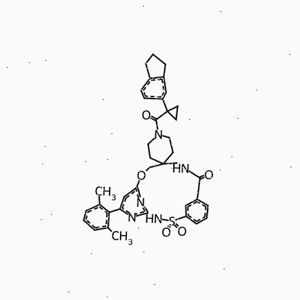 Cc1cccc(C)c1-c1cc2nc(n1)NS(=O)(=O)c1cccc(c1)C(=O)NCC1(CCN(C(=O)C3(c4ccc5c(c4)CCC5)CC3)CC1)CO2